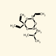 C=C[SiH]1O[SiH2]O[Si](C=C)(C=C)O1.CN(C)C